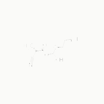 C=C(C#N)C(=O)OC(C)OCCC